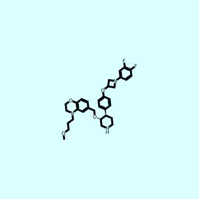 COCCCN1CCOc2ccc(CO[C@H]3CNCC[C@@H]3c3ccc(OC4CN(c5ccc(F)c(F)c5)C4)cc3)cc21